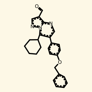 O=Cc1cnn2c(C3CCCCC3)c(-c3ccc(OCc4ccccc4)cc3)cnc12